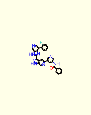 O=C(Nc1cncc(-c2cc3c(-c4nc5c(-c6ccccc6F)cncc5[nH]4)n[nH]c3cn2)c1)c1ccccc1